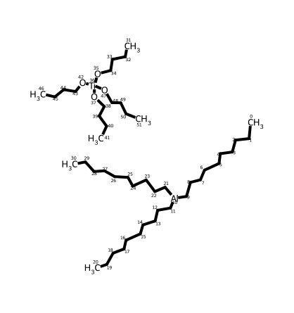 CCCCCCCCC[CH2][Al]([CH2]CCCCCCCCC)[CH2]CCCCCCCCC.CCCC[O][Ti]([O]CCCC)([O]CCCC)[O]CCCC